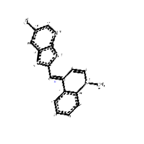 CN1C=C/C(=C\c2nc3ncc(Cl)cc3s2)c2ccccc21